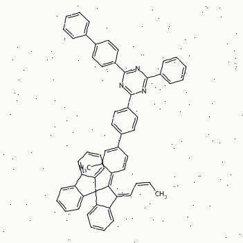 C\C=C/C=C1\C(=C2/C=CC(c3ccc(-c4nc(-c5ccccc5)nc(-c5ccc(-c6ccccc6)cc5)n4)cc3)=CC2C)C2(c3ccccc31)c1ccccc1-c1ccccc12